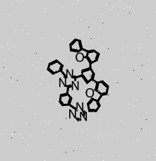 c1ccc(-c2nc(-c3cccc(-c4ncncn4)c3)nc(-c3cc(-c4cccc5c4oc4ccccc45)cc(-c4cccc5c4oc4ccccc45)c3)n2)cc1